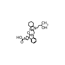 CC(O)CCn1c(CN2C(=O)C3(CN(C(=O)O)C3)c3ccccc32)nc2c1CCCC2